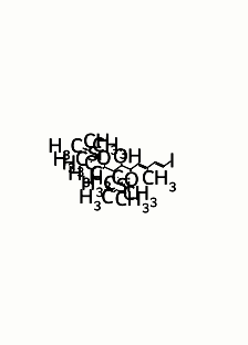 CC(/C=C/I)=C\[C@@H](O[Si](C)(C)C(C)(C)C)[C@H](O)C[C@@H](C)O[Si](C)(C)C(C)(C)C